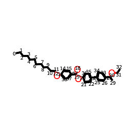 CCCCCCCCCCCCOc1ccc(C(=O)Oc2ccc(-c3ccc(C(C)OCC)cc3)cc2)cc1